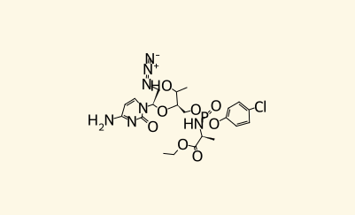 CCOC(=O)[C@H](C)NP(=O)(OC[C@@H](O[C@H](CN=[N+]=[N-])n1ccc(N)nc1=O)C(C)O)Oc1ccc(Cl)cc1